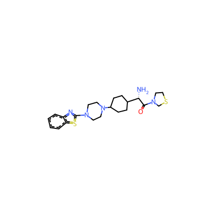 N[C@H](C(=O)N1CCSC1)C1CCC(N2CCN(c3nc4ccccc4s3)CC2)CC1